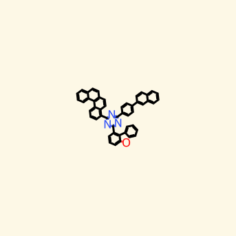 c1ccc2cc(-c3ccc(-c4nc(-c5cccc6c5ccc5ccc7ccccc7c56)nc(-c5cccc6oc7ccccc7c56)n4)cc3)ccc2c1